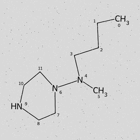 CCCCN(C)N1CCNCC1